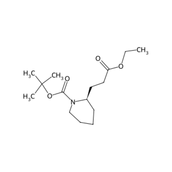 CCOC(=O)CC[C@H]1CCCCN1C(=O)OC(C)(C)C